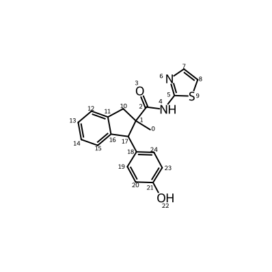 CC1(C(=O)Nc2nccs2)Cc2ccccc2C1c1ccc(O)cc1